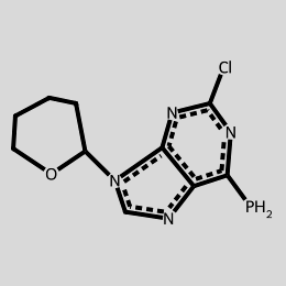 Pc1nc(Cl)nc2c1ncn2C1CCCCO1